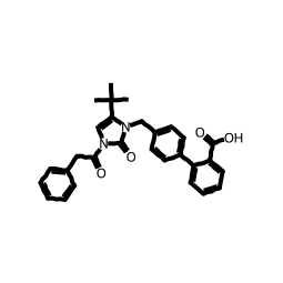 CC(C)(C)c1cn(C(=O)Cc2ccccc2)c(=O)n1Cc1ccc(-c2ccccc2C(=O)O)cc1